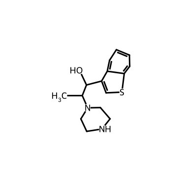 CC(C(O)c1csc2ccccc12)N1CCNCC1